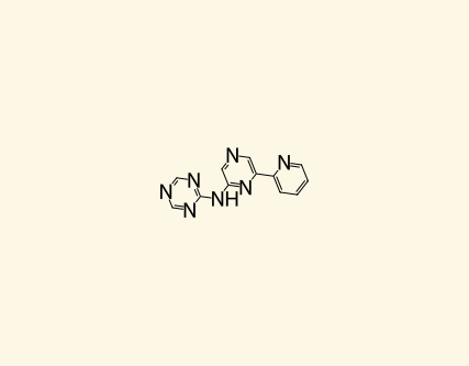 c1ccc(-c2cncc(Nc3ncncn3)n2)nc1